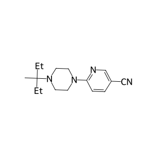 CCC(C)(CC)N1CCN(c2ccc(C#N)cn2)CC1